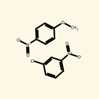 COc1ccc([N+](=O)[O-])cc1.O=[N+]([O-])c1cccc(Cl)c1